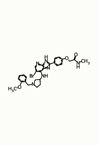 CNC(=O)COc1ccc(-c2nc3c(NC4CCN(Cc5ccccc5OC)C4)c(Br)cnc3[nH]2)cc1